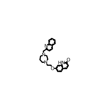 O=c1ccc2ccc(OCCN3CCCN(Cc4ccc5ccccc5n4)CC3)cc2[nH]1